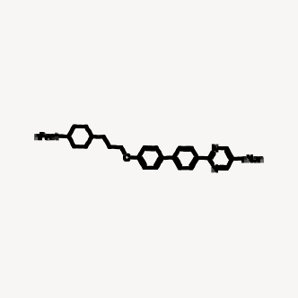 CCCCCCCCCc1cnc(-c2ccc(-c3ccc(OCCCC4CCC(CCCCC)CC4)cc3)cc2)nc1